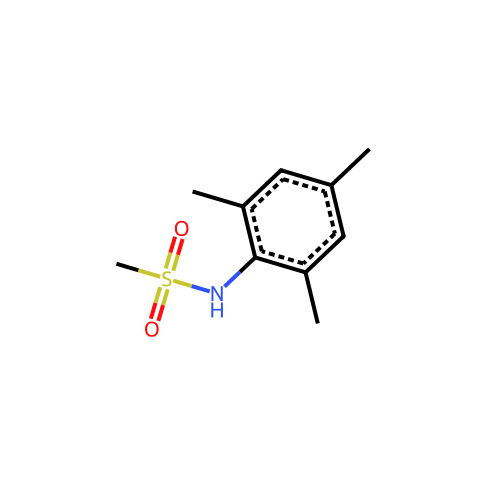 Cc1cc(C)c(NS(C)(=O)=O)c(C)c1